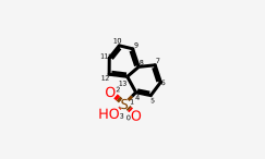 O=S(=O)(O)c1cccc2cc[c]cc12